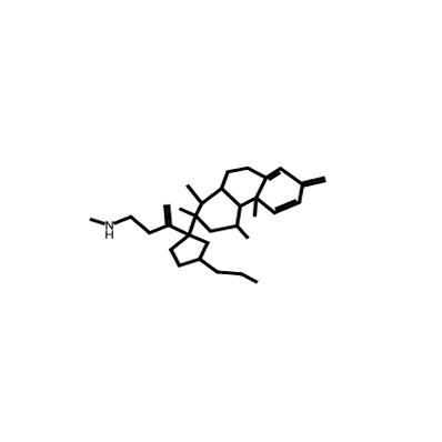 C=C1C=CC2(C)C(=C1)CCC1C2C(C)CC(C)(C2(C(=C)CCNC)CCC(CCC)C2)C1C